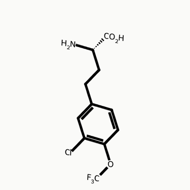 N[C@@H](CCc1ccc(OC(F)(F)F)c(Cl)c1)C(=O)O